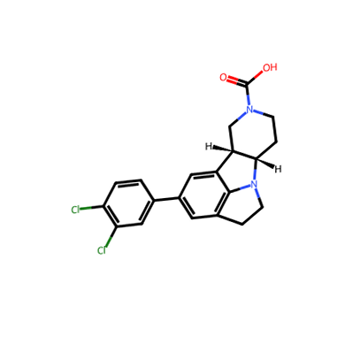 O=C(O)N1CC[C@H]2[C@@H](C1)c1cc(-c3ccc(Cl)c(Cl)c3)cc3c1N2CC3